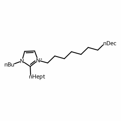 CCCCCCCCCCCCCCCCC[n+]1ccn(CCCC)c1CCCCCCC